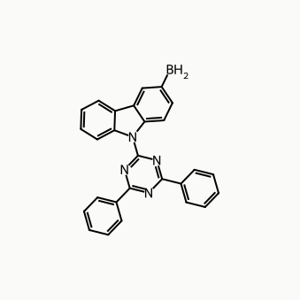 Bc1ccc2c(c1)c1ccccc1n2-c1nc(-c2ccccc2)nc(-c2ccccc2)n1